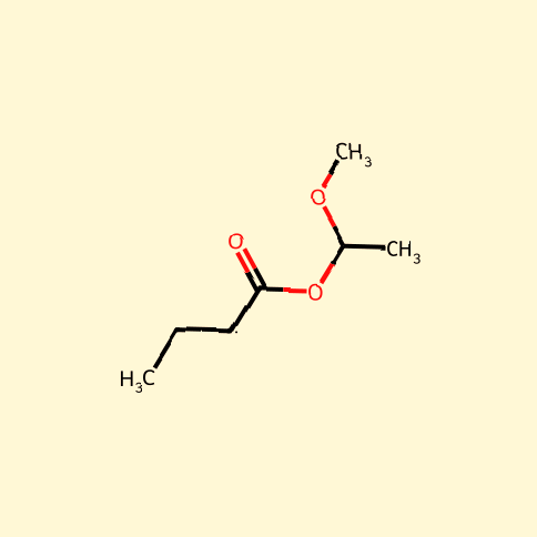 CC[CH]C(=O)OC(C)OC